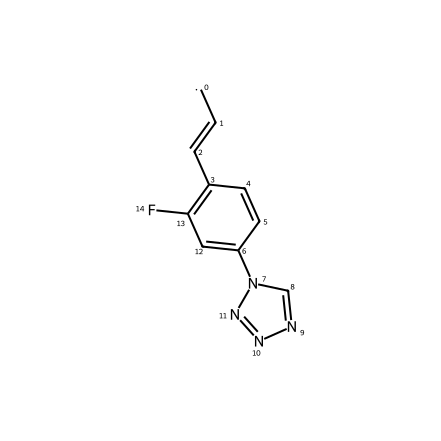 [CH2]/C=C/c1ccc(-n2cnnn2)cc1F